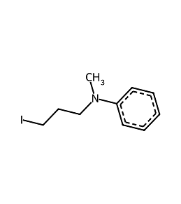 CN(CCCI)c1ccccc1